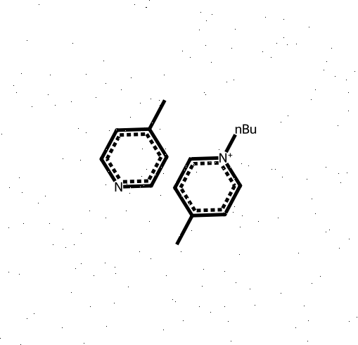 CCCC[n+]1ccc(C)cc1.Cc1ccncc1